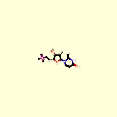 C=C1NC(=O)C=CN1C1O[C@H](CCP(=C)(C)C)[C@@H](O)[C@H]1C